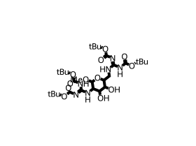 COC1OC(CN/C(=N\C(=O)OC(C)(C)C)NC(=O)OC(C)(C)C)C(O)C(O)C1N/C(=N/C(=O)OC(C)(C)C)NC(=O)OC(C)(C)C